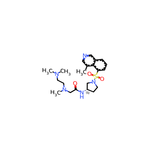 Cc1cncc2cccc(S(=O)(=O)N3CC[C@H](NC(=O)CN(C)CCN(C)C)C3)c12